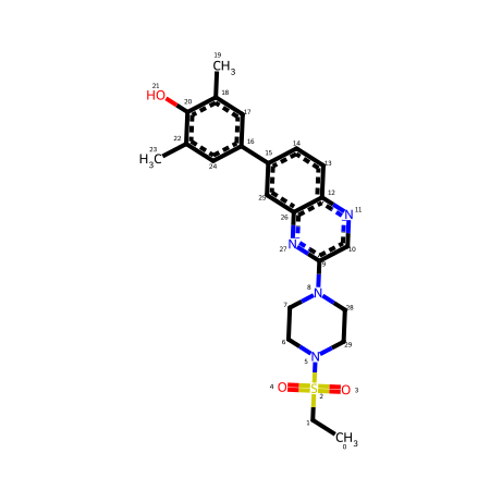 CCS(=O)(=O)N1CCN(c2cnc3ccc(-c4cc(C)c(O)c(C)c4)cc3n2)CC1